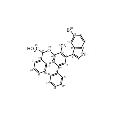 N#Cc1c(-c2c[nH]c3ccc(Br)cc23)cc(-c2ccccc2)nc1OC(C(=O)O)c1ccccc1